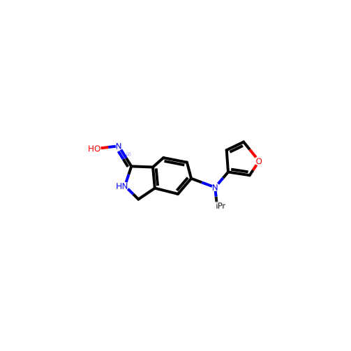 CC(C)N(c1ccoc1)c1ccc2c(c1)CN/C2=N\O